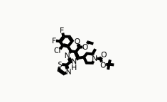 CCOC(=O)C1=C(C2CCN(C(=O)OC(C)(C)C)C(C)C2)NC(c2nccs2)=NC1c1ccc(F)c(F)c1Cl